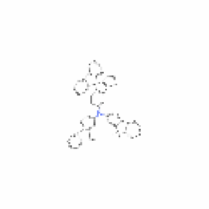 CC1(C)c2ccccc2-c2ccc(N(c3ccc4c(c3)C3=C(C=CC3)C43c4ccccc4-c4ccccc43)c3ccc4c(c3)C(C)(C)c3ccccc3-4)cc21